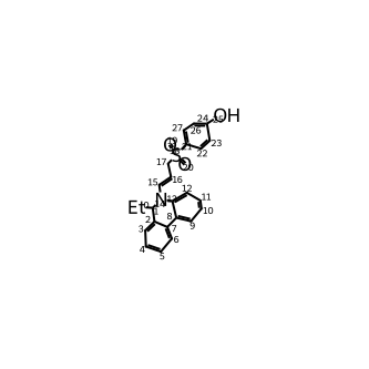 CCC1c2ccccc2-c2ccccc2N1C=CCS(=O)(=O)c1ccc(O)cc1